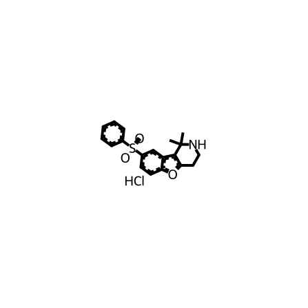 CC1(C)NCCc2oc3ccc(S(=O)(=O)c4ccccc4)cc3c21.Cl